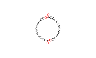 O=C1CCCCCCCCC=CCCOC(=O)CCCCCCCCC=CCCO1